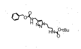 CC(C)(C)OC(=O)NCCCn1cc(CNC(=O)OCc2ccccc2)nn1